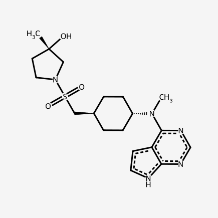 CN(c1ncnc2[nH]ccc12)[C@H]1CC[C@H](CS(=O)(=O)N2CC[C@](C)(O)C2)CC1